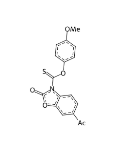 COc1ccc(OC(=S)n2c(=O)oc3cc(C(C)=O)ccc32)cc1